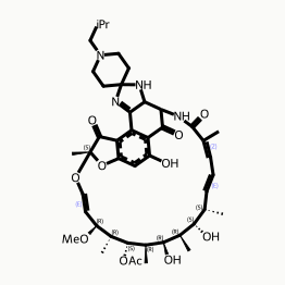 CO[C@H]1/C=C/O[C@@]2(C)Oc3cc(O)c4c(c3C2=O)C2=NC3(CCN(CC(C)C)CC3)NC2C(NC(=O)/C(C)=C\C=C\[C@H](C)[C@H](O)[C@@H](C)[C@@H](O)[C@@H](C)[C@H](OC(C)=O)[C@@H]1C)C4=O